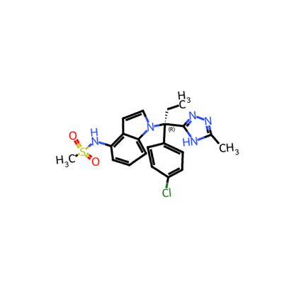 CC[C@@](c1ccc(Cl)cc1)(c1nnc(C)[nH]1)n1ccc2c(NS(C)(=O)=O)cccc21